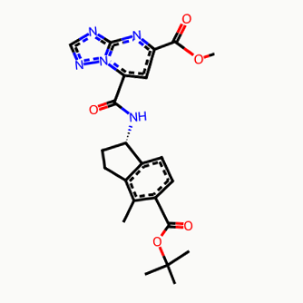 COC(=O)c1cc(C(=O)N[C@H]2CCc3c2ccc(C(=O)OC(C)(C)C)c3C)n2ncnc2n1